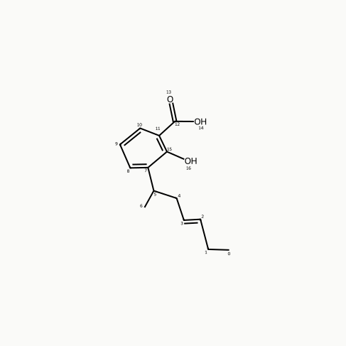 CCC=CCC(C)c1cccc(C(=O)O)c1O